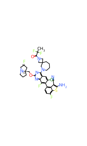 CC(F)(F)C(=O)N1CC2(CCCCN(c3nc(OC[C@@]45CCCN4C[C@H](F)C5)nc4c(F)c(-c5ccc(F)c6sc(N)c(C#N)c56)c(Cl)cc34)C2)C1